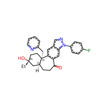 CC[C@@]1(O)CC[C@@]2(Cc3ccccn3)c3cc4cnn(-c5ccc(F)cc5)c4cc3C(=O)CC[C@H]2C1